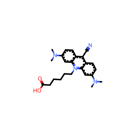 CN(C)c1ccc2c(C#N)c3ccc(N(C)C)cc3[n+](CCCCCC(=O)O)c2c1